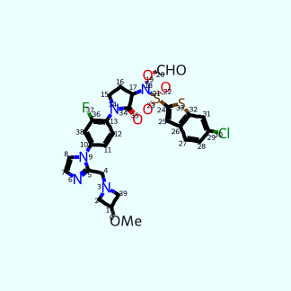 COC1CN(Cc2nccn2-c2ccc(N3CCC(N(OC=O)S(=O)(=O)c4cc5ccc(Cl)cc5s4)C3=O)c(F)c2)C1